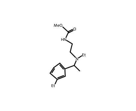 CCc1cccc(C(C)N(CC)CCNC(=O)OC)c1